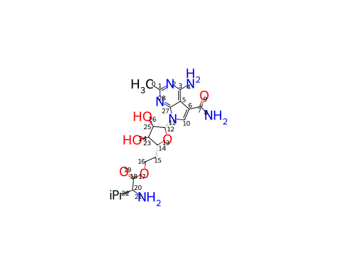 Cc1nc(N)c2c(C(N)=O)cn([C@@H]3O[C@H](CCOC(=O)[C@@H](N)C(C)C)[C@@H](O)[C@H]3O)c2n1